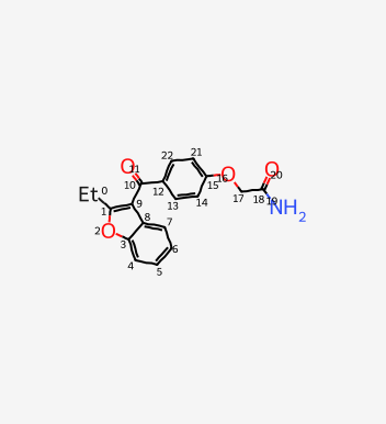 CCc1oc2ccccc2c1C(=O)c1ccc(OCC(N)=O)cc1